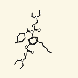 C=C(C)[C@@H]1CCC(C)=C[C@H]1c1c(OC(=O)OCN(CC)CC)cc(CCCCC)cc1OC(=O)OCN(CC)CC